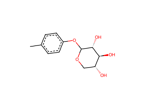 Cc1ccc(OC2OC[C@@H](O)[C@H](O)[C@H]2O)cc1